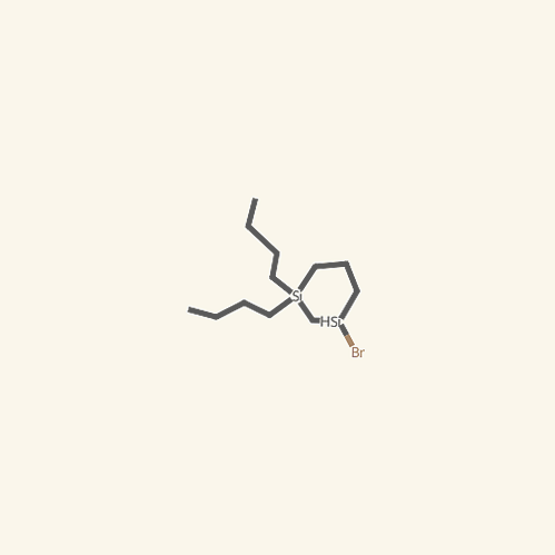 CCCC[Si]1(CCCC)CCC[SiH](Br)C1